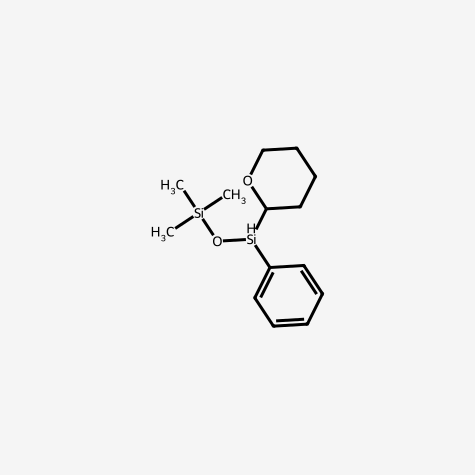 C[Si](C)(C)O[SiH](c1ccccc1)C1CCCCO1